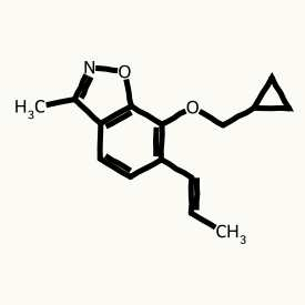 CC=Cc1ccc2c(C)noc2c1OCC1CC1